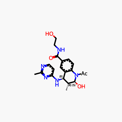 CC(=O)N1c2ccc(C(=O)NCCO)cc2[C@H](Nc2ccnc(C)n2)[C@@H](C)[C@@H]1O